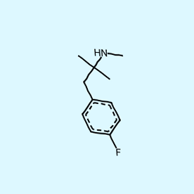 CNC(C)(C)Cc1ccc(F)cc1